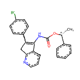 C[C@@H](OC(=O)NC1=C(c2ccc(Br)cc2)Cc2ncccc21)c1ccccc1